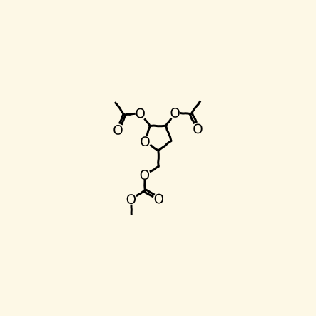 COC(=O)OCC1CC(OC(C)=O)C(OC(C)=O)O1